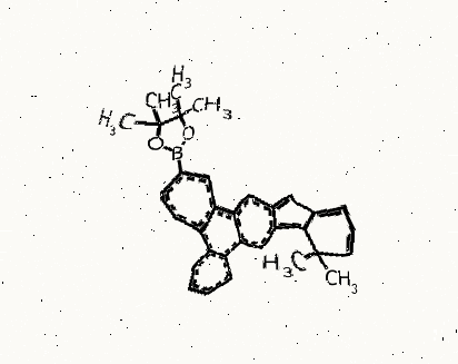 CC1(C)C=CC=C2C=c3cc4c5cc(B6OC(C)(C)C(C)(C)O6)ccc5c5ccccc5c4cc3=C21